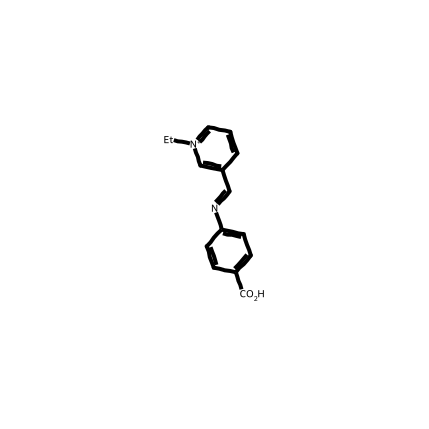 CC[n+]1cccc(C=Nc2ccc(C(=O)O)cc2)c1